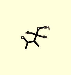 CCCCC(CCCC)(O[SiH3])C(C)C(C)Cl